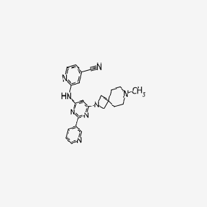 CN1CCC2(CC1)CN(c1cc(Nc3cc(C#N)ccn3)nc(-c3cccnc3)n1)C2